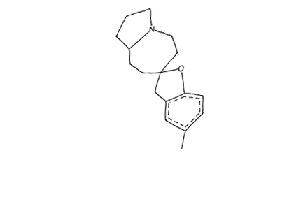 Cc1ccc2c(c1)CC1(CCC3CCCN3CC1)O2